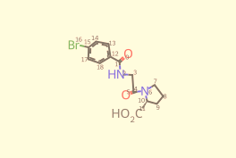 O=C(NCC(=O)N1CCC[C@H]1C(=O)O)c1ccc(Br)cc1